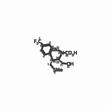 CSC[C@H](c1ccc(C(F)(F)F)cc1)[C@H](CO)N(C(=O)O)C(C)(C)C